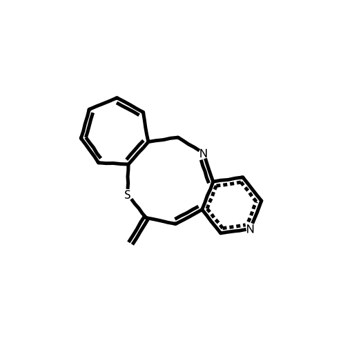 C=C1/C=c2/cncc/c2=N/CC2=C(C=C=CC=C2)S1